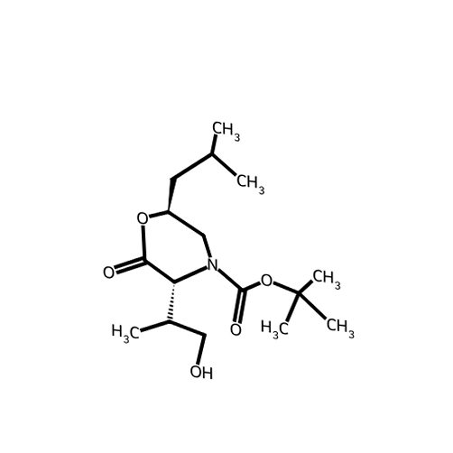 CC(C)C[C@H]1CN(C(=O)OC(C)(C)C)[C@H](C(C)CO)C(=O)O1